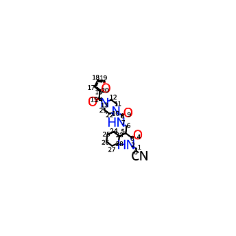 N#CCNC(=O)C(CNC(=O)N1CCN(C(=O)c2ccco2)CC1)C1CCCCC1